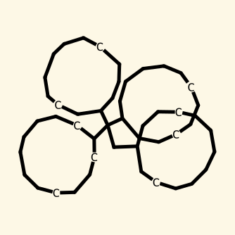 C1CCCCCC(CC(C2CCCCCCCCCCC2)(C2CCCCCCCCCCC2)C2CCCCCCCCCCC2)CCCCC1